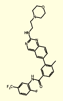 Cc1ccc(C(=O)Nc2cc(C(F)(F)F)ccc2F)cc1-c1ccc2nc(NCCN3CCOCC3)ncc2c1